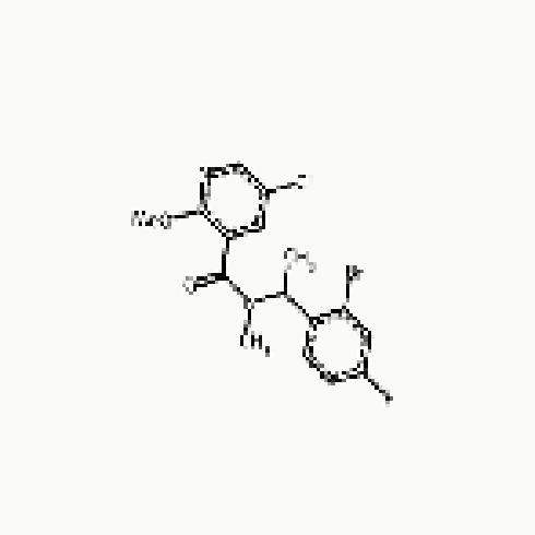 COc1ncc(Cl)cc1C(=O)N(C)C(C)c1ccc(F)cc1Br